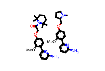 COc1cc(OCC(=O)N2C(C)(C)CCCC2(C)C)ccc1-c1cccc(N)n1.COc1cc(OCC2CCCN2C)ccc1-c1cccc(N)n1